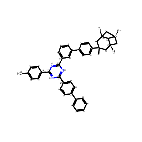 CC1(c2ccc(-c3cccc(-c4nc(-c5ccc(C#N)cc5)nc(-c5ccc(-c6ccccc6)cc5)n4)c3)cc2)C[C@H]2C[C@@H]3C[C@@H](C1)C32